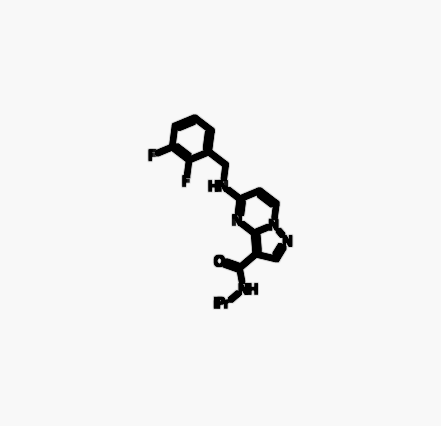 CC(C)NC(=O)c1cnn2ccc(NCc3cccc(F)c3F)nc12